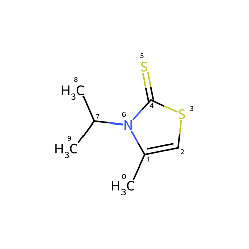 Cc1csc(=S)n1C(C)C